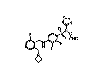 O=CON(c1cscn1)S(=O)(=O)c1ccc(NCc2c(F)cccc2CN2CCC2)c(Cl)c1F